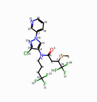 CSC(CC(=O)N(CCCC(F)(F)F)c1cn(-c2cccnc2)nc1Cl)C(F)(F)F